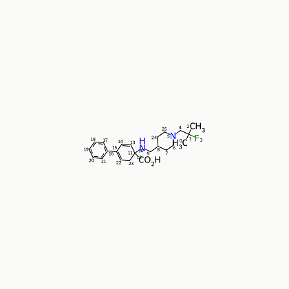 CC(C)(F)CN1CCC(CNC2(C(=O)O)C=CC(c3ccccc3)=CC2)CC1